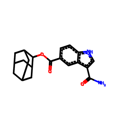 NC(=O)c1c[nH]c2ccc(C(=O)OC3C4CC5CC(C4)CC3C5)cc12